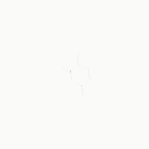 CCCCC1CCC(C)OC1=O